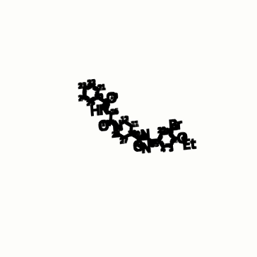 CCOc1ccc(-c2noc(C3CCN(C(=O)CNC(=O)c4ccccc4)CC3)n2)cc1Br